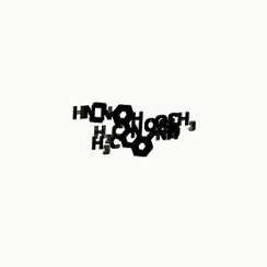 CC1(C)Cc2cccc(C(=O)NS(C)(=O)=O)c2NC1c1cccc(N2CCNCC2)c1